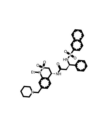 CCN1c2cc(CN3CCCCC3)ccc2[C@@H](NC(=O)C[C@@H](NS(=O)(=O)c2ccc3ccccc3c2)c2ccccc2)CS1(=O)=O